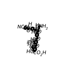 CC(C)Oc1c(NC(=O)c2ccc(NC(=O)c3ccc(NC(=O)C(CC(N)=O)NC(=O)c4ccc(NC(=O)c5ccc(C#N)cn5)cc4)cc3)c(OC(C)C)c2O)ccc(C(=O)O)c1O